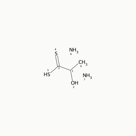 CC(O)C(=S)S.N.N